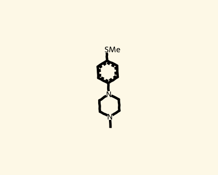 CSc1ccc(N2CCN(C)CC2)cc1